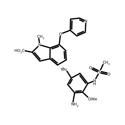 COc1c(N)cc(C(C)(C)C)cc1NS(C)(=O)=O.Cn1c(C(=O)O)cc2cccc(Oc3ccncc3)c21